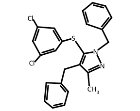 Cc1nn(Cc2ccccc2)c(Sc2cc(Cl)cc(Cl)c2)c1Cc1ccccc1